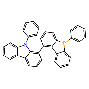 c1ccc(-n2c3ccccc3c3cccc(-c4cccc5c4c4ccccc4p5-c4ccccc4)c32)cc1